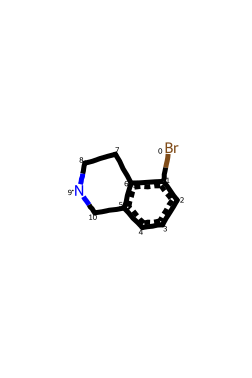 Brc1cccc2c1CC[N]C2